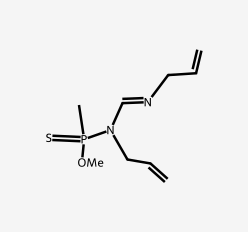 C=CCN=CN(CC=C)P(C)(=S)OC